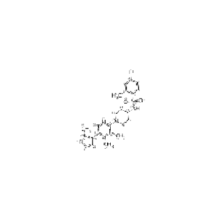 Cc1cc(F)ccc1S(=O)(=O)NC1CCN(c2nnc(-c3ccnn3C)c(C)c2C)CC1